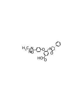 Cc1noc(-c2ccc(Oc3cc(C(=O)O)ccc3CN3C[C@H](c4ccccc4)CC3=O)cc2)n1